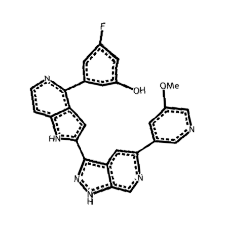 COc1cncc(-c2cc3c(-c4cc5c(-c6cc(O)cc(F)c6)nccc5[nH]4)n[nH]c3cn2)c1